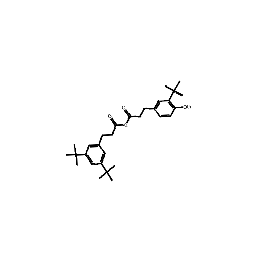 CC(C)(C)c1cc(CCC(=O)OC(=O)CCc2ccc(O)c(C(C)(C)C)c2)cc(C(C)(C)C)c1